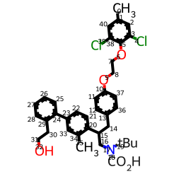 Cc1cc(Cl)c(OCCOc2ccc(CC(CN(C(=O)O)C(C)(C)C)c3ccc(-c4ccccc4CCO)cc3C)cc2)c(Cl)c1